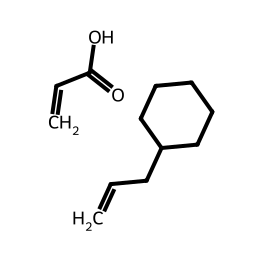 C=CC(=O)O.C=CCC1CCCCC1